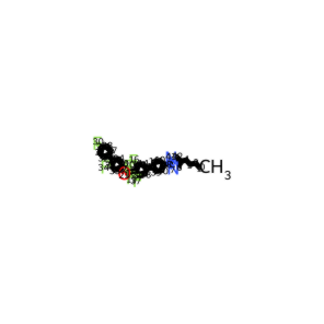 CCCCCc1cnc(-c2ccc(-c3cc(F)c(C(F)(F)Oc4ccc(-c5ccc(F)cc5)c(F)c4)c(F)c3)cc2)nc1